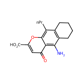 CCCc1c2c(c(N)c3c(=O)cc(C(=O)O)oc13)CCCC2